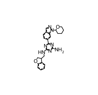 Nc1nc(NCC2COc3ccccc32)nc(-c2ccc3cnn(C4CCCCO4)c3c2)n1